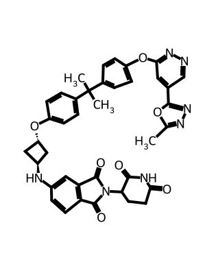 Cc1nnc(-c2cnnc(Oc3ccc(C(C)(C)c4ccc(O[C@H]5C[C@H](Nc6ccc7c(c6)C(=O)N(C6CCC(=O)NC6=O)C7=O)C5)cc4)cc3)c2)o1